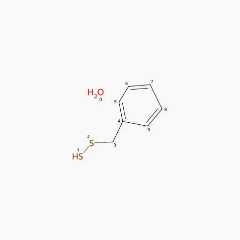 O.SSCc1ccccc1